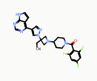 N#CCC1(n2cc(-c3ncnc4[nH]ccc34)cn2)CN(C2CCN(C(=O)c3c(F)cc(F)cc3F)CC2)C1